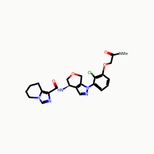 CNC(=O)COc1cccc(-n2ncc3c2COC[C@@H]3NC(=O)c2ncn3c2CCCC3)c1Cl